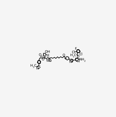 Cc1ncsc1-c1ccc(CNC(=O)[C@@H]2C[C@@H](O)CN2C(=O)[C@@H](NC(=O)CCCCCCCCC(=O)N2CCC(n3cc(-c4cnc(N)c(O[C@H](C)c5c(Cl)ccc(F)c5Cl)c4)cn3)CC2)C(C)(C)C)cc1